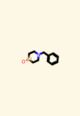 [O-][S+]1CCN(Cc2ccccc2)CC1